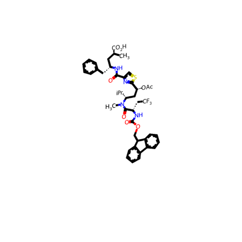 CC(=O)O[C@H](C[C@@H](C(C)C)N(C)C(=O)[C@H](CC(F)(F)F)NC(=O)OCC1c2ccccc2-c2ccccc21)c1nc(C(=O)N[C@H](Cc2ccccc2)C[C@H](C)C(=O)O)cs1